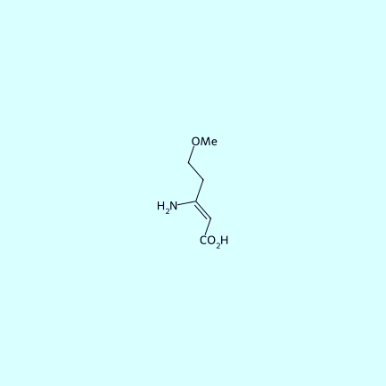 COCC/C(N)=C/C(=O)O